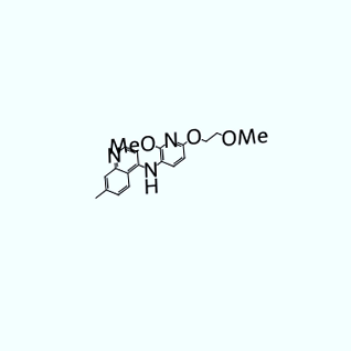 COCCOc1ccc(Nc2ccnc3cc(C)ccc23)c(OC)n1